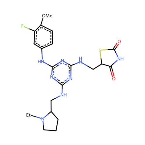 CCN1CCCC1CNc1nc(NCC2SC(=O)NC2=O)nc(Nc2ccc(OC)c(F)c2)n1